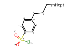 CCCCCCCCCCc1ccc(S(=O)(=O)Cl)cc1